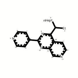 CCCCCCCC(CC)c1nc(-c2ccncc2)nc2cnccc12